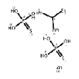 CCCC(CC)C(C)C.OP(O)(O)=S.OP(O)(O)=S.[Zn]